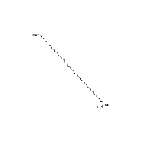 CCCCCCCCCCCCCCCCCCCCCCCCCCCCCCCCCCCCCCCCCCCCCCCCCC(N)N